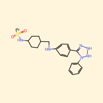 CC(C)S(=O)(=O)NC1CCC(CNc2ccc(C3=NNNN3c3ccccc3)cc2)CC1